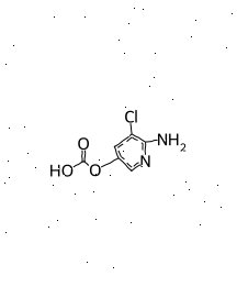 Nc1ncc(OC(=O)O)cc1Cl